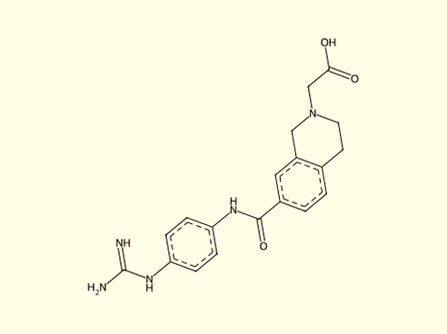 N=C(N)Nc1ccc(NC(=O)c2ccc3c(c2)CN(CC(=O)O)CC3)cc1